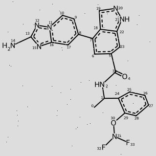 CC(NC(=O)c1cc(-c2ccn3nc(N)nc3c2)c2cn[nH]c2c1)c1ccccc1ON(F)F